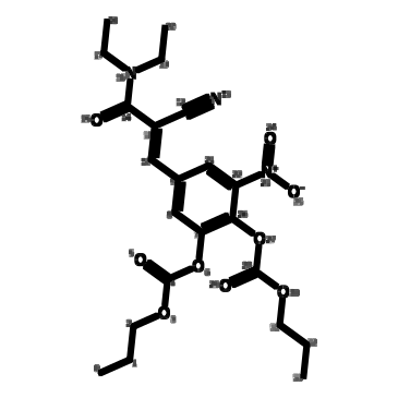 CCCOC(=O)Oc1cc(/C=C(\C#N)C(=O)N(CC)CC)cc([N+](=O)[O-])c1OC(=O)OCCC